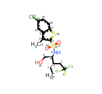 CC[C@@H](CC(F)(F)F)[C@@H](CO)NS(=O)(=O)c1sc2ccc(Cl)cc2c1C